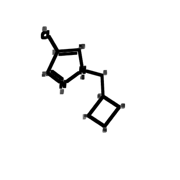 Clc1[c]nn(CC2CCC2)c1